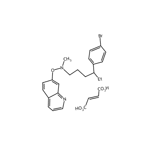 CCC(CCCN(C)Oc1ccc2cccnc2c1)c1ccc(Br)cc1.O=C(O)C=CC(=O)O